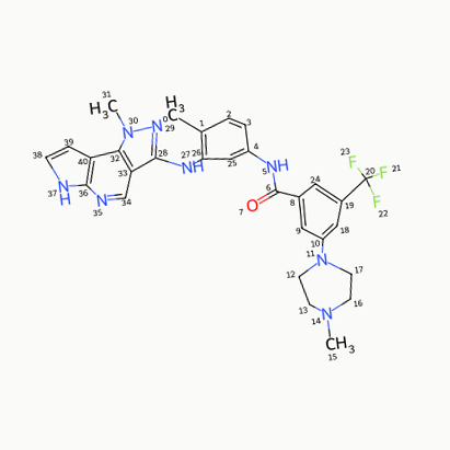 Cc1ccc(NC(=O)c2cc(N3CCN(C)CC3)cc(C(F)(F)F)c2)cc1Nc1nn(C)c2c1cnc1[nH]ccc12